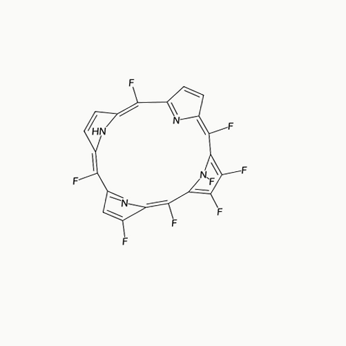 FC1=Cc2nc1c(F)c1c(F)c(F)c(c(F)c3nc(c(F)c4ccc([nH]4)c2F)C=C3)n1F